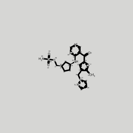 Cc1sc(C(=O)c2cncnc2N[C@H]2CC[C@@H](COS(N)(=O)=O)C2)cc1Cn1cccn1